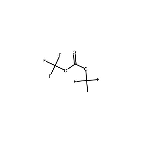 CC(F)(F)OC(=O)OC(F)(F)F